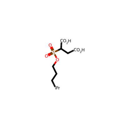 CC(C)CCCOS(=O)(=O)C(CC(=O)O)C(=O)O